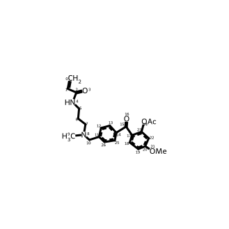 C=CC(=O)NCCCN(C)Cc1ccc(C(=O)c2ccc(OC)cc2OC(C)=O)cc1